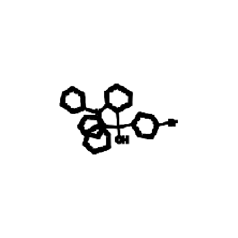 OC(c1ccccc1)(c1ccc(Br)cc1)c1ccccc1N(c1ccccc1)c1ccccc1